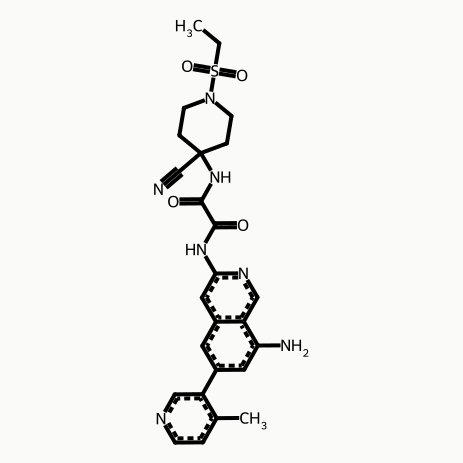 CCS(=O)(=O)N1CCC(C#N)(NC(=O)C(=O)Nc2cc3cc(-c4cnccc4C)cc(N)c3cn2)CC1